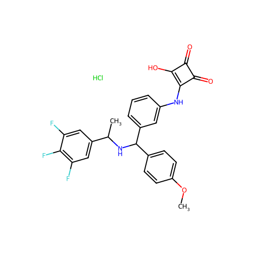 COc1ccc(C(NC(C)c2cc(F)c(F)c(F)c2)c2cccc(Nc3c(O)c(=O)c3=O)c2)cc1.Cl